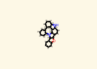 c1ccc2c(c1)oc1c3ccc4[nH]c5cccc6c7ccccc7n(c21)c3c4c56